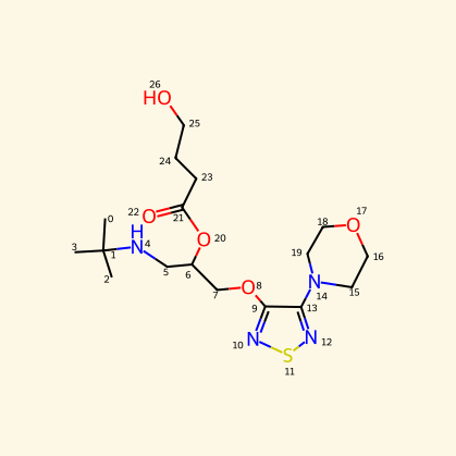 CC(C)(C)NCC(COc1nsnc1N1CCOCC1)OC(=O)CCCO